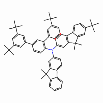 CC(C)(C)c1cccc(-c2cc(-c3cc(C(C)(C)C)cc(C(C)(C)C)c3)ccc2N(c2ccc3c(c2)C(C)(C)c2ccccc2-3)c2ccc3c(c2)C(C)(C)c2cc(C(C)(C)C)ccc2-3)c1